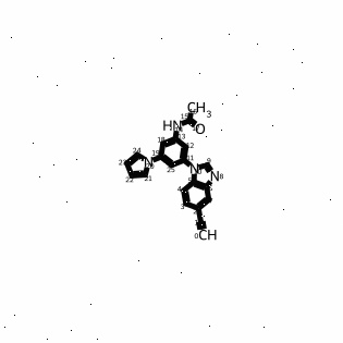 C#Cc1ccc2c(c1)ncn2-c1cc(NC(C)=O)cc(-n2cccc2)c1